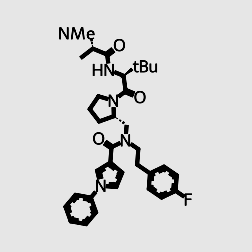 CN[C@@H](C)C(=O)N[C@H](C(=O)N1CCC[C@H]1CN(CCc1ccc(F)cc1)C(=O)c1ccn(-c2ccccc2)c1)C(C)(C)C